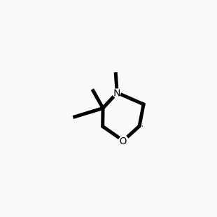 CN1C[CH]OCC1(C)C